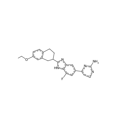 CCOc1ccc2c(c1)CC(c1nc3cc(-c4ccnc(N)n4)cc(F)c3[nH]1)CC2